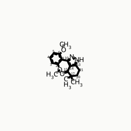 COc1cccc(OC)c1-c1n[nH]c2c1C(=O)C(C)(C)CC2